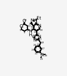 CCn1ncc2c(NC3CCOC(=O)C3)c(-c3nc(Cc4cccc(N(C)C)c4)no3)cnc21